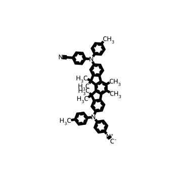 [C-]#[N+]c1ccc(N(c2ccc(C)cc2)c2ccc3c(c2)C(C)(C)c2c-3c(C)c(C)c3c2C(C)(C)c2cc(N(c4ccc(C)cc4)c4ccc(C#N)cc4)ccc2-3)cc1